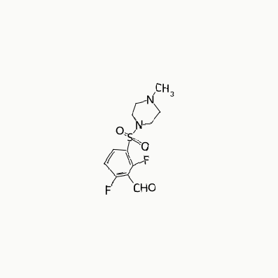 CN1CCN(S(=O)(=O)c2ccc(F)c(C=O)c2F)CC1